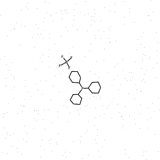 C1CCC(P(C2CCCCC2)C2CCCCC2)CC1.F[B-](F)(F)F